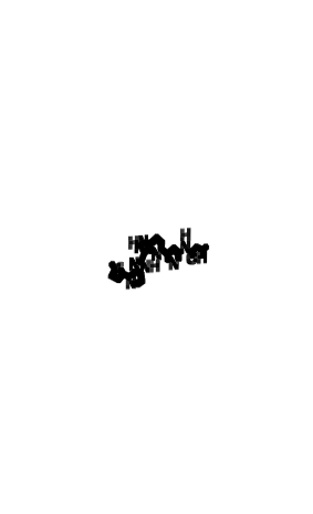 Cc1ccc(-c2nccc3[nH]c(-c4n[nH]c5ccc(-c6cncc(NC(O)CC(C)C)c6)nc45)nc23)s1